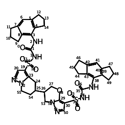 O=C(Nc1c2c(cc3c1CCC3)CCC2)NS(=O)(=O)c1cnn2c1CC(C1COc3c(S(=O)(=O)NC(=O)Nc4c5c(cc6c4CCC6)CCC5)cnn3C1)CC2